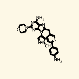 Cn1cc(-n2c(Cc3ccc(-c4ccc(N)cc4)nc3)nc3c(N)nc(N4CCOCC4)nc32)cn1